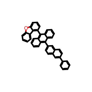 c1ccc(-c2ccc3cc(-c4c5ccccc5c(-c5cccc6oc7ccccc7c56)c5ccccc45)ccc3c2)cc1